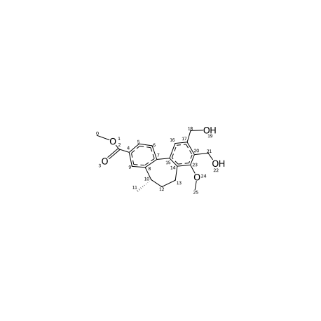 COC(=O)c1ccc2c(c1)[C@@H](C)CCc1c-2cc(CO)c(CO)c1OC